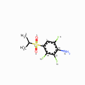 CC(C)S(=O)(=O)c1cc(F)c(N)c(F)c1F